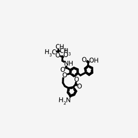 CC(C)(C)OC(=O)CNC(=O)c1ccc(Cc2cccc(C(=O)O)c2)c2c1OCCCc1cc(N)ccc1C(=O)O2